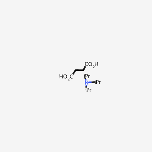 CC(C)N(C(C)C)C(C)C.O=C(O)CCC(=O)O